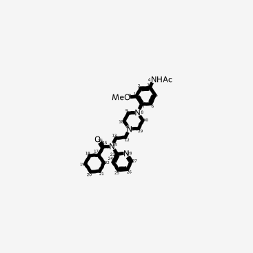 COc1cc(NC(C)=O)ccc1N1CCN(CCN(C(=O)C2CCCCC2)c2ccccn2)CC1